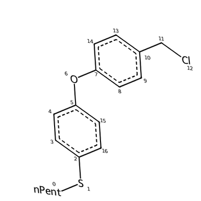 CCCCCSc1ccc(Oc2ccc(CCl)cc2)cc1